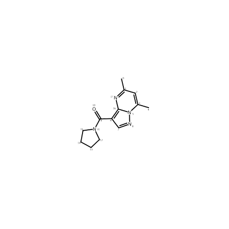 Cc1cc(C)n2ncc(C(=O)N3CCCC3)c2n1